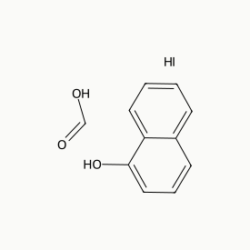 I.O=CO.Oc1cccc2ccccc12